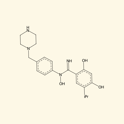 CC(C)c1cc(C(=N)N(O)c2ccc(CN3CCNCC3)cc2)c(O)cc1O